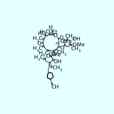 C#Cc1ccc(CN(C)[C@H]2C[C@@H](C)O[C@@H](O[C@@H]3[C@@H](C)[C@H](O[C@H]4C[C@@](C)(OC)[C@@H](O)[C@H](C)O4)[C@@H](C)C(=O)O[C@H](CC)[C@@](C)(O)[C@H](O)[C@@H](C)C(=O)[C@H](C)C[C@@]3(C)OC)[C@H]2O)cc1